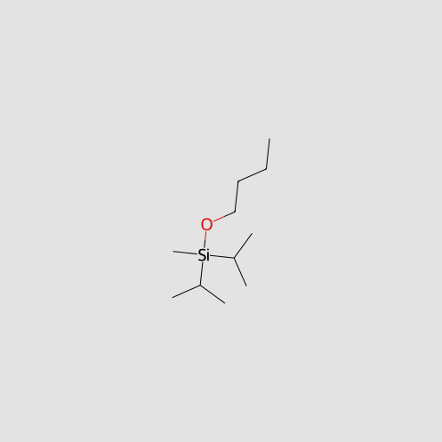 CCCCO[Si](C)(C(C)C)C(C)C